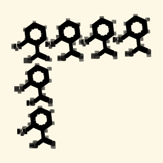 Nc1ccccc1C(=O)O.Nc1ccccc1C(=O)O.Nc1ccccc1C(=O)O.Nc1ccccc1C(=O)O.Nc1ccccc1C(=O)O.Nc1ccccc1C(=O)O